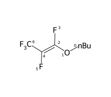 CCCCOC(F)=C(F)C(F)(F)F